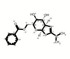 CN(C)C1=N[C@@H]2[C@@H](O)[C@H](O)[C@@H](COC(=O)c3ccccc3)O[C@@H]2S1